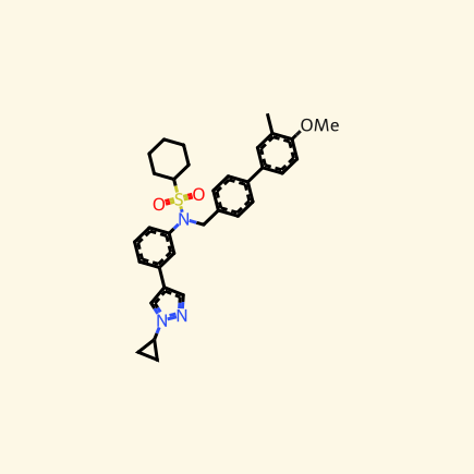 COc1ccc(-c2ccc(CN(c3cccc(-c4cnn(C5CC5)c4)c3)S(=O)(=O)C3CCCCC3)cc2)cc1C